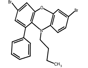 CCCCN1c2ccc(Br)cc2Oc2cc(Br)cc(-c3ccccc3)c21